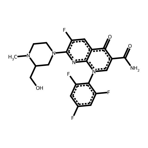 CN1CCN(c2nc3c(cc2F)c(=O)c(C(N)=O)cn3-c2c(F)cc(F)cc2F)CC1CO